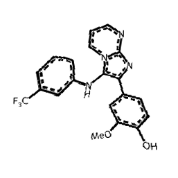 COc1cc(-c2nc3ncccn3c2Nc2cccc(C(F)(F)F)c2)ccc1O